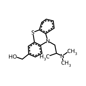 CC(CN1c2ccccc2Sc2cc(CO)ccc21)N(C)C